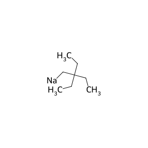 CCC(CC)(CC)[CH2][Na]